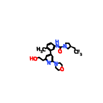 Cc1ccc(NC(=O)N2CC[C@@H](CC(F)(F)F)C2)cc1-c1cc(CCO)nc(N2CCOCC2)c1